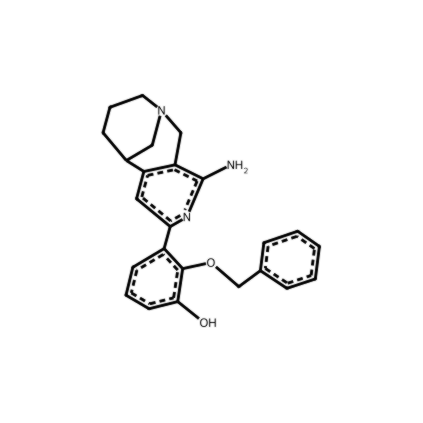 Nc1nc(-c2cccc(O)c2OCc2ccccc2)cc2c1CN1CCCC2C1